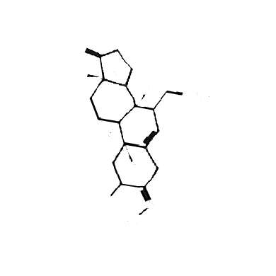 C[C@]12CC(O)C(=NO)CC1=CC(CC(=O)O)[C@@H]1[C@@H]2CC[C@]2(C)C(=O)CC[C@@H]12